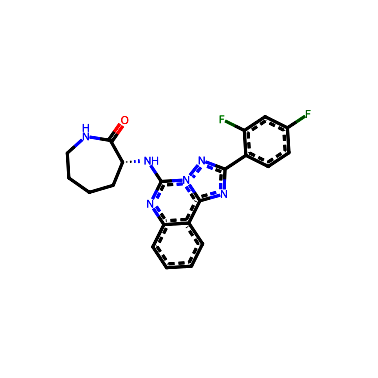 O=C1NCCCC[C@H]1Nc1nc2ccccc2c2nc(-c3ccc(F)cc3F)nn12